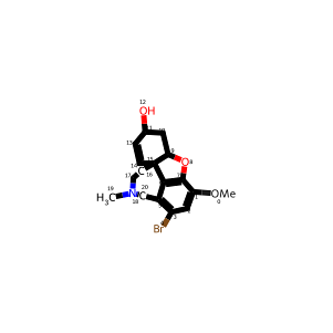 COc1cc(Br)c2c3c1OC1CC(O)C=CC31CCN(C)C2